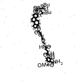 CCCCC(CC)COP(=O)(OCC(CC)CCCC)Oc1ccc2c(c1)CCC1C2CCC2(C)C(OC(=O)COCCOCCNC(=O)CCC(=O)Nc3ccc(OC)c(C(N)=O)c3O)CCC12